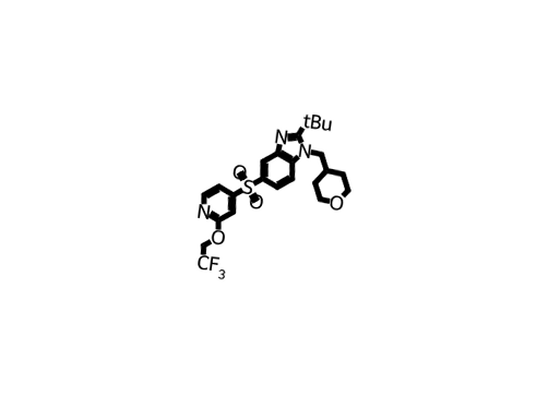 CC(C)(C)c1nc2cc(S(=O)(=O)c3ccnc(OCC(F)(F)F)c3)ccc2n1CC1CCOCC1